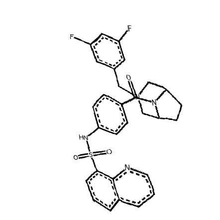 O=C(c1ccc(NS(=O)(=O)c2cccc3cccnc23)cc1)N1C2CCC1CN(Cc1cc(F)cc(F)c1)C2